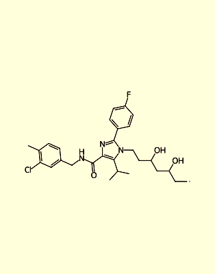 [CH2]CC(O)CC(O)CCn1c(-c2ccc(F)cc2)nc(C(=O)NCc2ccc(C)c(Cl)c2)c1C(C)C